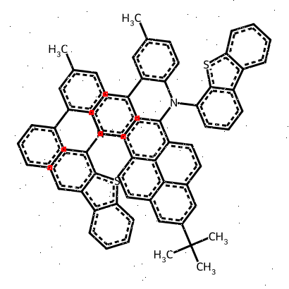 Cc1ccc(N(c2cc(N(c3ccc(C)cc3-c3ccccc3)c3cccc4c3sc3ccccc34)c3ccc4cc(C(C)(C)C)cc5ccc2c3c54)c2cccc3c2sc2ccccc23)c(-c2ccccc2)c1